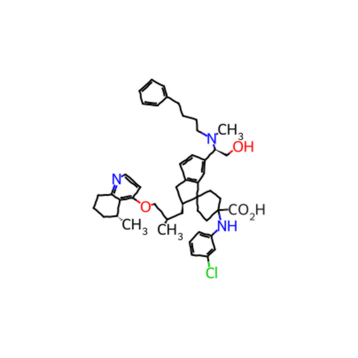 C[C@@H](COc1ccnc2c1[C@H](C)CCC2)C[C@H]1Cc2ccc([C@H](CO)N(C)CCCCc3ccccc3)cc2C12CCC(Nc1cccc(Cl)c1)(C(=O)O)CC2